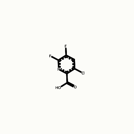 O=C(O)c1nc(F)c(F)cc1Cl